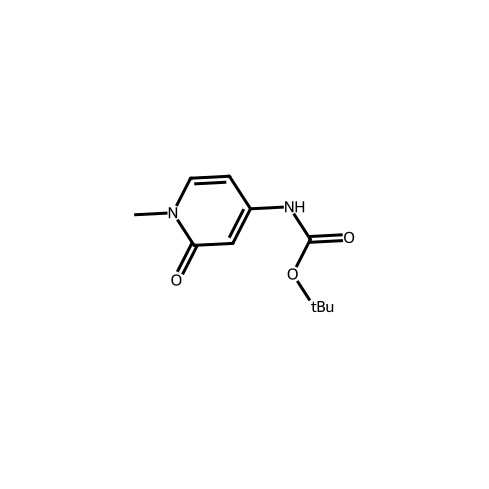 Cn1ccc(NC(=O)OC(C)(C)C)cc1=O